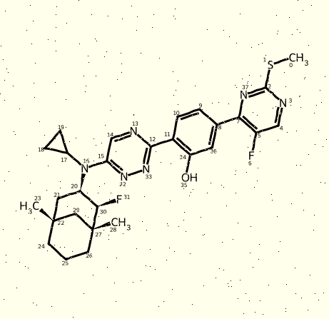 CSc1ncc(F)c(-c2ccc(-c3ncc(N(C4CC4)[C@@H]4C[C@@]5(C)CCC[C@](C)(C5)[C@@H]4F)nn3)c(O)c2)n1